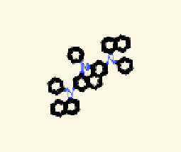 c1ccc(N(c2cc3ccc4cc(N(c5ccccc5)c5cccc6ccccc56)cc5c4c3c(c2)n5-c2ccccc2)c2cccc3ccccc23)cc1